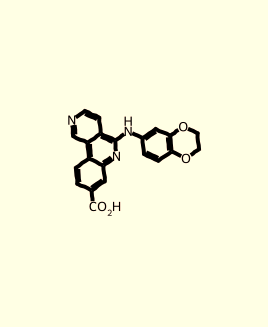 O=C(O)c1ccc2c(c1)nc(Nc1ccc3c(c1)OCCO3)c1ccncc12